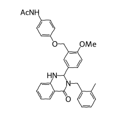 COc1ccc(C2Nc3ccccc3C(=O)N2Cc2ccccc2C)cc1COc1ccc(NC(C)=O)cc1